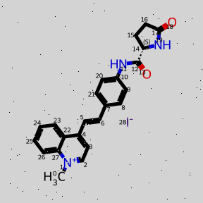 C[n+]1ccc(C=Cc2ccc(NC(=O)[C@@H]3CCC(=O)N3)cc2)c2ccccc21.[I-]